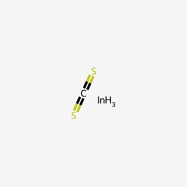 S=C=S.[InH3]